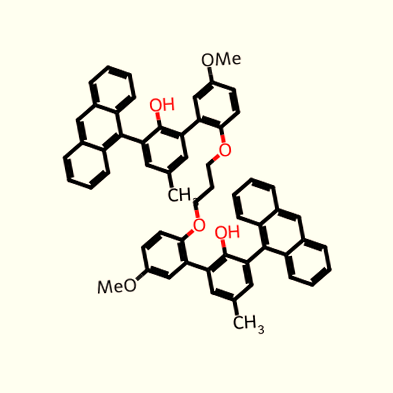 COc1ccc(OCCCOc2ccc(OC)cc2-c2cc(C)cc(-c3c4ccccc4cc4ccccc34)c2O)c(-c2cc(C)cc(-c3c4ccccc4cc4ccccc34)c2O)c1